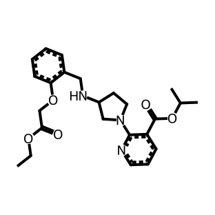 CCOC(=O)COc1ccccc1CNC1CCN(c2ncccc2C(=O)OC(C)C)C1